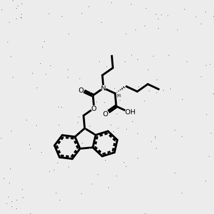 CCCC[C@H](C(=O)O)N(CCC)C(=O)OCC1c2ccccc2-c2ccccc21